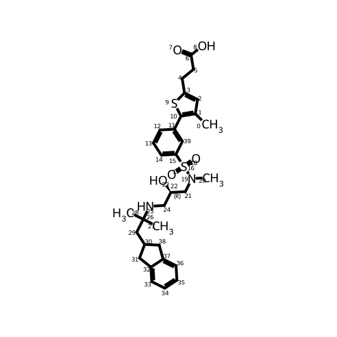 Cc1cc(CCC(=O)O)sc1-c1cccc(S(=O)(=O)N(C)C[C@H](O)CNC(C)(C)CC2Cc3ccccc3C2)c1